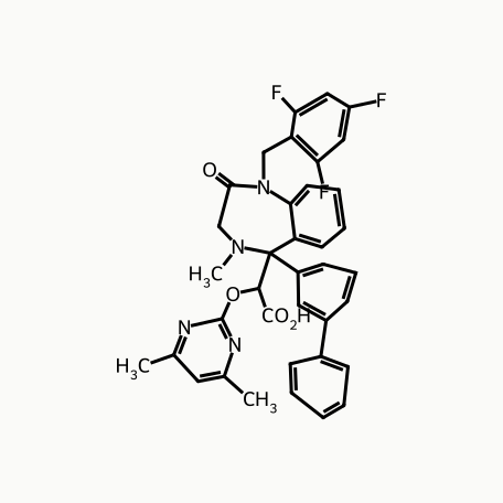 Cc1cc(C)nc(OC(C(=O)O)C2(c3cccc(-c4ccccc4)c3)c3ccccc3N(Cc3c(F)cc(F)cc3F)C(=O)CN2C)n1